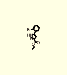 CCOC(=O)c1cc(-c2ccccc2Br)[nH]n1